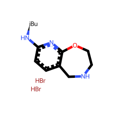 Br.Br.CC[C@H](C)Nc1ccc2c(n1)OCCNC2